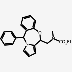 CCOC(=O)N(C)CC1Oc2ccccc2C(c2ccccc2)n2cccc21